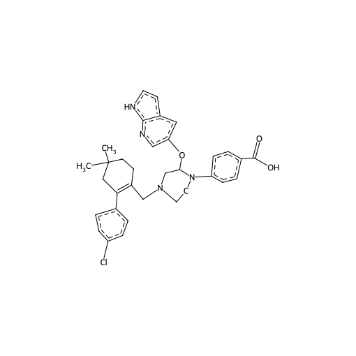 CC1(C)CCC(CN2CCN(c3ccc(C(=O)O)cc3)C(Oc3cnc4[nH]ccc4c3)C2)=C(c2ccc(Cl)cc2)C1